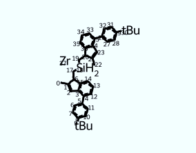 CC1=Cc2c(-c3ccc(C(C)(C)C)cc3)cccc2C1C[SiH2]CC1C(C)=Cc2c(-c3ccc(C(C)(C)C)cc3)cccc21.[Zr]